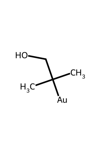 C[C](C)([Au])CO